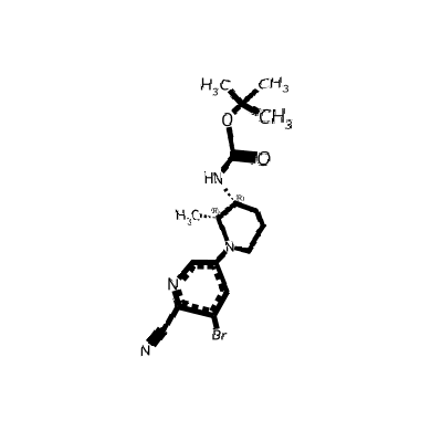 C[C@@H]1[C@H](NC(=O)OC(C)(C)C)CCCN1c1cnc(C#N)c(Br)c1